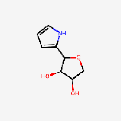 O[C@@H]1COC(c2ccc[nH]2)[C@@H]1O